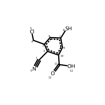 N#Cc1c(CCl)cc(S)cc1C(=O)O